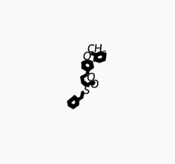 CC(Oc1ccc(C2CC=C(SCCc3ccccc3)C(=O)O2)cc1)c1ccccc1